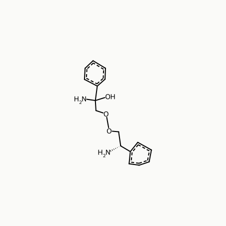 N[C@H](COOCC(N)(O)c1ccccc1)c1ccccc1